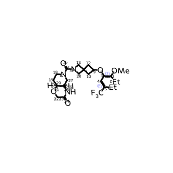 CC/C(OC)=C(\C=C(/CC)C(F)(F)F)OC1CC2(C1)CN(C(=O)N1CC[C@@H]3OCC(=O)N[C@@H]3C1)C2